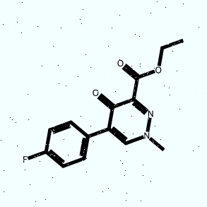 CCOC(=O)c1nn(C)cc(-c2ccc(F)cc2)c1=O